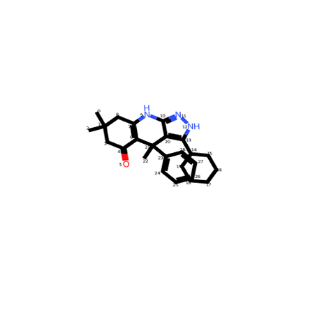 CC1(C)CC(=O)C2=C(C1)Nc1n[nH]c(C3CCCCC3)c1C2(C)c1ccccc1